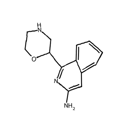 Nc1cc2ccccc2c(C2CNCCO2)n1